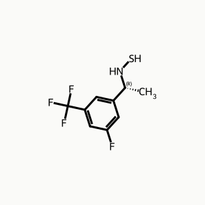 C[C@@H](NS)c1cc(F)cc(C(F)(F)F)c1